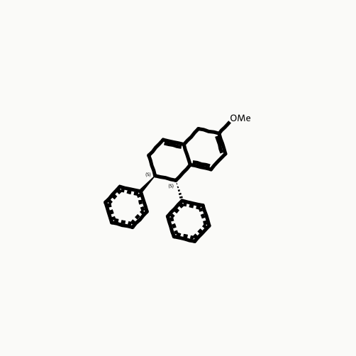 COC1=CC=C2C(=CC[C@H](c3ccccc3)[C@H]2c2ccccc2)C1